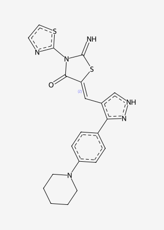 N=C1S/C(=C\c2c[nH]nc2-c2ccc(N3CCCCC3)cc2)C(=O)N1c1nccs1